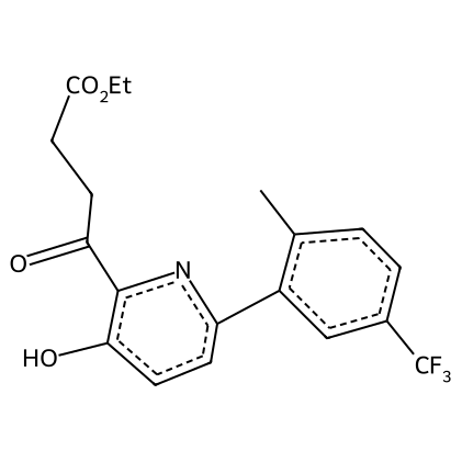 CCOC(=O)CCC(=O)c1nc(-c2cc(C(F)(F)F)ccc2C)ccc1O